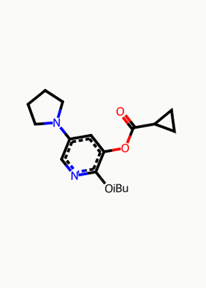 CC(C)COc1ncc(N2CCCC2)cc1OC(=O)C1CC1